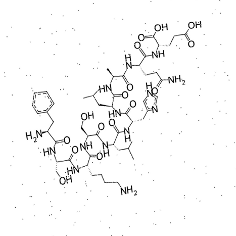 CC(C)C[C@H](NC(=O)[C@H](Cc1c[nH]cn1)NC(=O)[C@H](CC(C)C)NC(=O)[C@H](CO)NC(=O)[C@H](CCCCN)NC(=O)[C@H](CO)NC(=O)[C@@H](N)Cc1ccccc1)C(=O)N[C@@H](C)C(=O)N[C@@H](CCC(N)=O)C(=O)N[C@@H](CCC(=O)O)C(=O)O